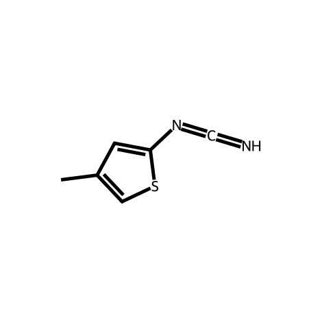 Cc1csc(N=C=N)c1